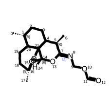 C[C@@H]1CCC2[C@@H](C)/C(=N/COC=O)O[C@@H]3O[C@]4(C)CCC1C23OO4